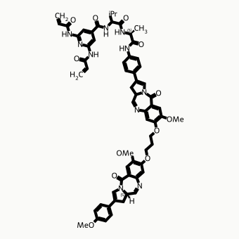 C=CC(=O)Nc1cc(C(=O)NC(C(=O)N[C@@H](C)C(=O)Nc2ccc(C3=CN4C(=O)c5cc(OC)c(OCCCOc6cc7c(cc6OC)C(=O)N6C=C(c8ccc(OC)cc8)C[C@H]6C=N7)cc5N=CC4C3)cc2)C(C)C)cc(NC(=O)C=C)n1